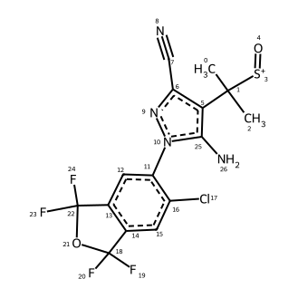 CC(C)([S+]=O)c1c(C#N)nn(-c2cc3c(cc2Cl)C(F)(F)OC3(F)F)c1N